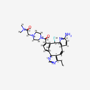 CCc1ncnc2c1C#Cc1ccc(N)nc1C(F)c1cc-2ccc1C(=O)N1CCN(CC(=O)N(C)C)CC1